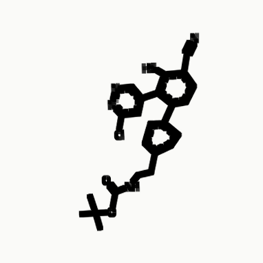 CC(C)(C)OC(=O)NCCc1ccc(-c2ccc(C#N)c(S)c2-c2cnnc(Cl)c2)cc1